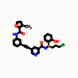 Cc1ccoc1C(=O)Nc1cccc(C#Cc2cncc(C(=O)N=S(CCCBr)c3ccccc3O)c2)c1